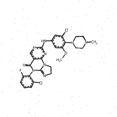 COc1cc(Nc2ncc3c(n2)N2CCN=C2N(c2c(F)cccc2Cl)C3=O)cc(Cl)c1N1CCN(C)CC1